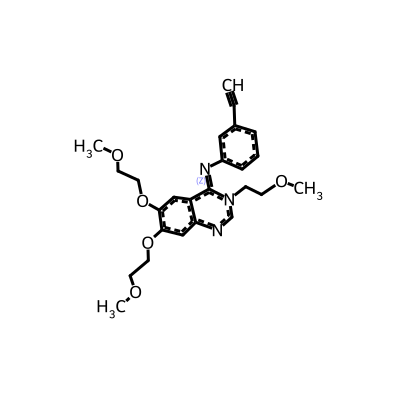 C#Cc1cccc(/N=c2/c3cc(OCCOC)c(OCCOC)cc3ncn2CCOC)c1